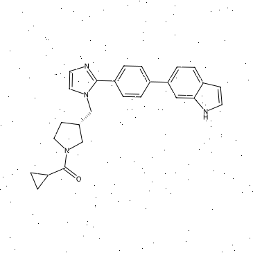 O=C(C1CC1)N1CC[C@H](Cn2ccnc2-c2ccc(-c3ccc4cc[nH]c4c3)cc2)C1